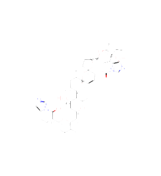 CC[C@@H]([C@H](O)[C@@H](C)[C@@H](O)[C@H](C)[C@@H]1O[C@@H]([C@@H](CC)C(=O)n2ccnc2)CCC1C)[C@H]1O[C@]2(C=C[C@@H](OC(=O)n3ccnc3)[C@]3(CC[C@@](C)([C@H]4CC[C@](O)(CC)[C@H](C)O4)O3)O2)[C@H](C)C[C@@H]1C